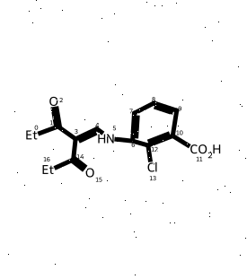 CCC(=O)C(=CNc1cccc(C(=O)O)c1Cl)C(=O)CC